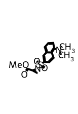 COC(=O)C1CN1S(=O)(=O)c1ccc2c(N(C)C)cccc2c1